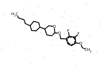 CCCCC1CCC(C2CCC(OCc3ccc(OCC)c(F)c3F)OC2)CC1